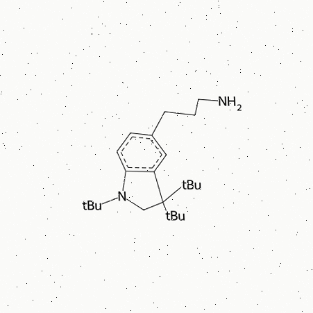 CC(C)(C)N1CC(C(C)(C)C)(C(C)(C)C)c2cc(CCCN)ccc21